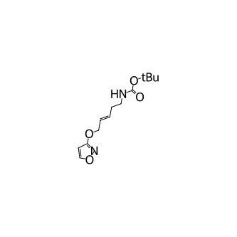 CC(C)(C)OC(=O)NCC/C=C/COc1ccon1